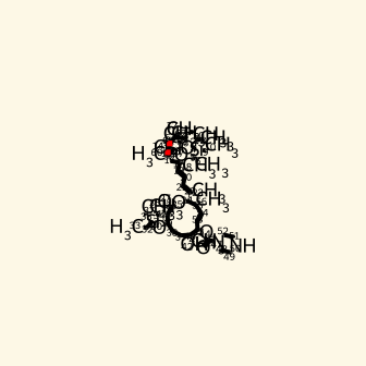 CC[C@H](O[Si](CC)(CC)CC)[C@@H](C)[C@@H]1O[C@H]1C[C@](C)(/C=C/C=C(\C)[C@H]1OC(=O)C[C@H](O[Si](CC)(CC)CC)CC[C@@](C)(O)[C@H](OC(=O)N2CCNCC2)/C=C/[C@@H]1C)O[Si](CC)(CC)CC